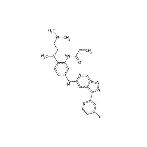 C=CC(=O)Nc1cc(Nc2cc3c(-c4cccc(F)c4)nnn3cn2)ccc1N(C)CCN(C)C